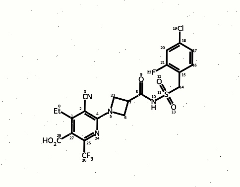 CCc1c(C#N)c(N2CC(C(=O)NS(=O)(=O)Cc3ccc(Cl)cc3F)C2)nc(C(F)(F)F)c1C(=O)O